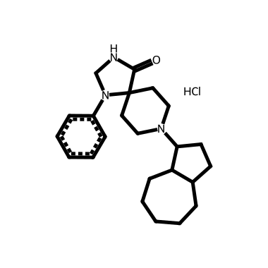 Cl.O=C1NCN(c2ccccc2)C12CCN(C1CCC3CCCCCC31)CC2